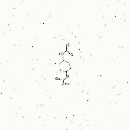 CNC(=O)N[C@H]1CC[C@H](NC(=O)C(C)C)CC1